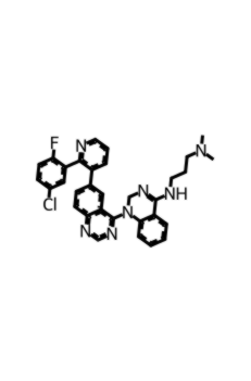 CN(C)CCCNC1=NCN(c2ncnc3ccc(-c4cccnc4-c4cc(Cl)ccc4F)cc23)c2ccccc21